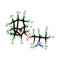 O=C1C2(F)C(F)(F)C3(F)C(F)(F)C1(F)C(F)(OC(F)(F)C(F)(N(F)F)C(F)(F)F)C(F)(C2(F)F)C3(F)F